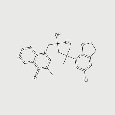 Cc1cn(CC(O)(CC(C)(C)c2cc(Cl)cc3c2OCC3)C(F)(F)F)c2ncccc2c1=O